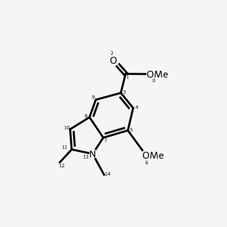 COC(=O)c1cc(OC)c2c(c1)cc(C)n2C